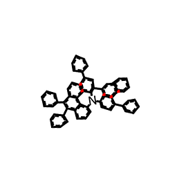 c1ccc(-c2ccc(N(c3ccc(-c4ccccc4)c(-c4ccccc4)c3)c3cccc4c(-c5ccccc5)c(-c5ccccc5)c5ccccc5c34)c(-c3ccccc3)c2)cc1